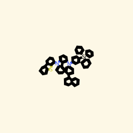 c1ccc([Si](c2ccccc2)(c2ccccc2)c2ccc(N(c3ccc(-c4cccc5ccccc45)cc3)c3cccc4c3c3ccccc3n4-c3cccc4c3sc3ccccc34)cc2)cc1